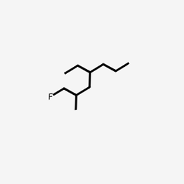 CCCC(CC)CC(C)CF